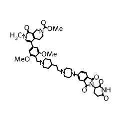 COC(=O)N1CCc2c(-c3cc(OC)c(CN4CCC(CCN5CCN(c6ccc7c(c6)C(=O)N(C6CCC(=O)NC6=O)C7=O)CC5)CC4)c(OC)c3)cn(C)c(=O)c2C1